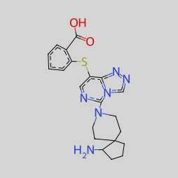 NC1CCCC12CCN(c1ncc(Sc3ccccc3C(=O)O)c3nncn13)CC2